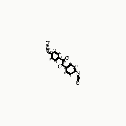 O=C=Nc1ccc(C(=O)C(=O)c2ccc(N=C=O)cc2)cc1